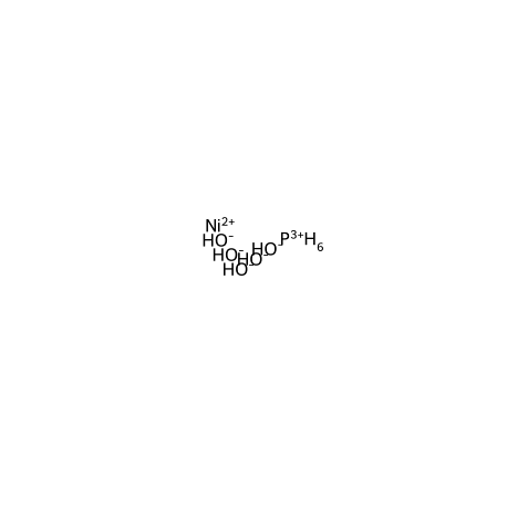 [Ni+2].[OH-].[OH-].[OH-].[OH-].[OH-].[PH6+3]